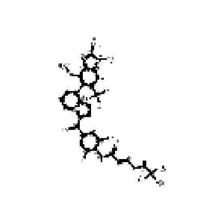 COc1c(-c2cccn3c(C(=O)c4cc(F)c(NC(=O)/C=C/CNC(C)(C)C)c(F)c4)ccc23)c(C(F)(F)F)cc2c1nc(C)n2C